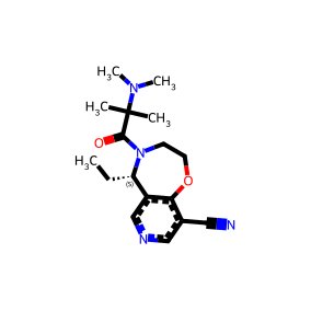 CC[C@H]1c2cncc(C#N)c2OCCN1C(=O)C(C)(C)N(C)C